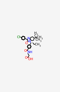 CCC[C@H](c1ccc(C(=O)NCCC(=O)O)cc1)N1C(=O)C(c2ccc(Cl)cc2)=NC12CCC(C(C)(C)C)CC2